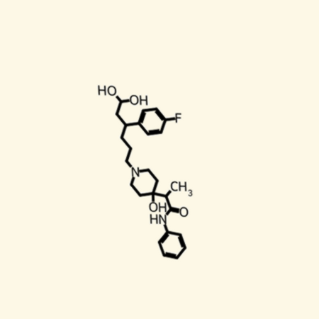 CC(C(=O)Nc1ccccc1)C1(O)CCN(CCCC(CC(O)O)c2ccc(F)cc2)CC1